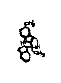 CCC1(c2cccc3ccccc23)NCCc2c1[nH]c1ccc(C)cc21